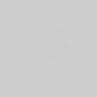 CC(N)Cc1[nH]c2nc(Cl)nc(NCc3ccccn3)c2c1F.Cl.Cl